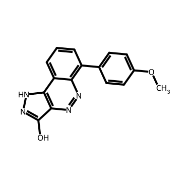 COc1ccc(-c2cccc3c2nnc2c(O)n[nH]c23)cc1